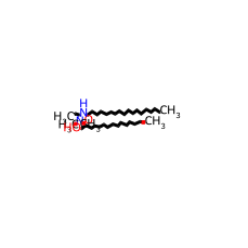 CCCCCCCCCCCCCCCCCC(=O)NC(CC)N(C)C.CCCCCCCCCCCCCCCCO